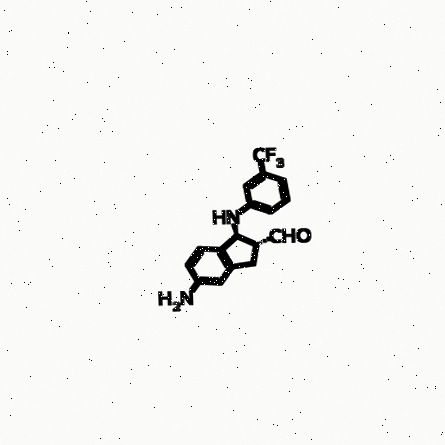 Nc1ccc2c(c1)C[C@@H](C=O)[C@@H]2Nc1cccc(C(F)(F)F)c1